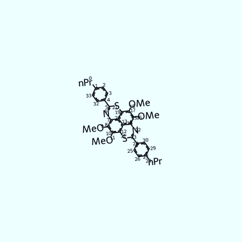 CCCc1ccc(C2=Nc3c(OC)c(OC)c4c5c(c(OC)c(OC)c(c35)S2)N=C(c2ccc(CCC)cc2)S4)cc1